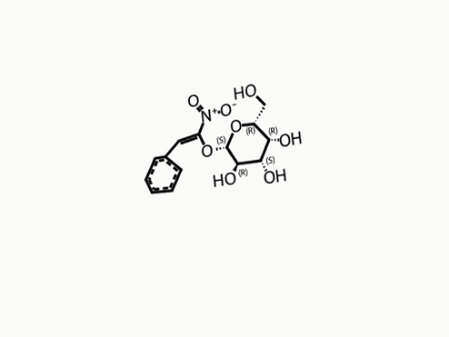 O=[N+]([O-])C(=Cc1ccccc1)O[C@@H]1O[C@H](CO)[C@H](O)[C@H](O)[C@H]1O